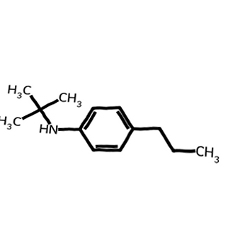 CCCc1ccc(NC(C)(C)C)cc1